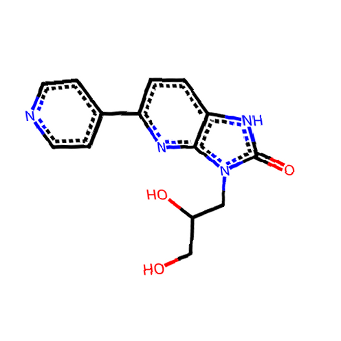 O=c1[nH]c2ccc(-c3ccncc3)nc2n1CC(O)CO